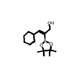 CC1(C)OB(/C(=C\C2CCCCC2)CO)OC1(C)C